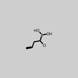 C=CCC(Cl)B(O)O